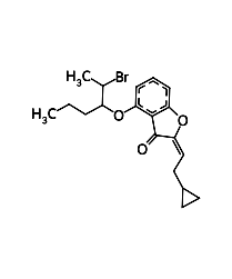 CCCC(Oc1cccc2c1C(=O)C(=CCC1CC1)O2)C(C)Br